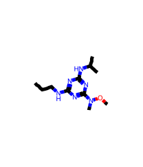 CCCNc1nc(NC(C)C)nc(N(C)OC)n1